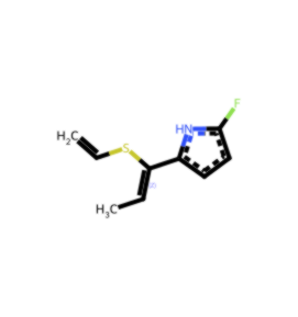 C=CS/C(=C\C)c1ccc(F)[nH]1